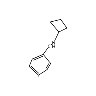 [c]1ccc(CNC2CCC2)cc1